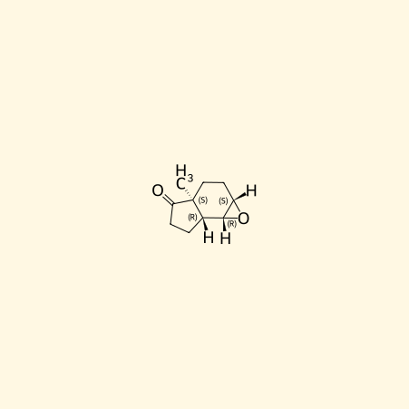 C[C@]12CC[C@@H]3O[C@@H]3[C@@H]1CCC2=O